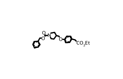 CCOC(=O)Cc1ccc(OCC2CCN(C(=O)OCc3ccccc3)CC2)cc1